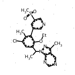 CCOc1c(C(C)n2nc(C)c3cncnc32)cc(Cl)c(C)c1-c1cncc(S(C)(=O)=O)c1